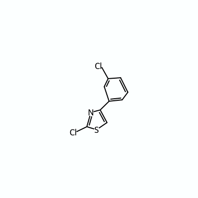 Clc1cccc(-c2csc(Cl)n2)c1